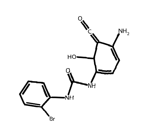 NC1=CC=C(NC(=O)Nc2ccccc2Br)C(O)C1=C=O